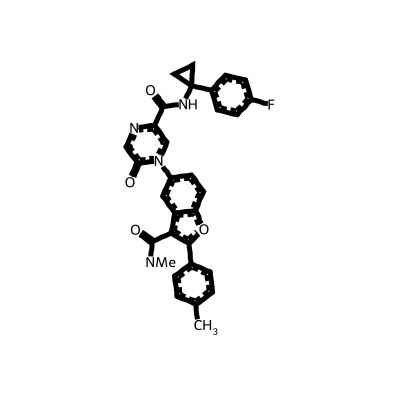 CNC(=O)c1c(-c2ccc(C)cc2)oc2ccc(-n3cc(C(=O)NC4(c5ccc(F)cc5)CC4)ncc3=O)cc12